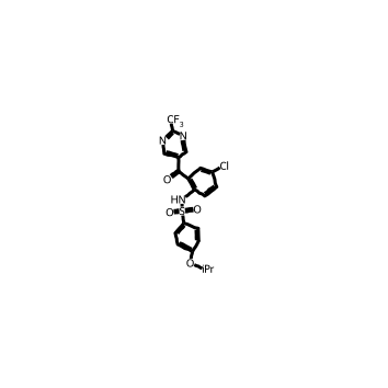 CC(C)Oc1ccc(S(=O)(=O)Nc2ccc(Cl)cc2C(=O)c2cnc(C(F)(F)F)nc2)cc1